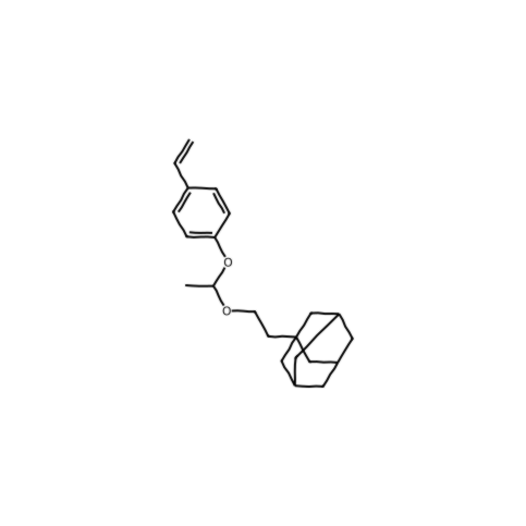 C=Cc1ccc(OC(C)OCCC23CC4CC(CC(C4)C2)C3)cc1